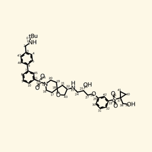 CC(C)(C)NCc1ccc(-c2cccc(S(=O)(=O)N3CCC4(CC3)C[C@@H](NC[C@H](O)COc3cccc(S(=O)(=O)C5(CO)CC5)c3)CO4)c2)cc1